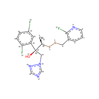 C[C@@H](SSCc1cccnc1F)[C@](O)(Cn1cncn1)c1cc(F)ccc1F